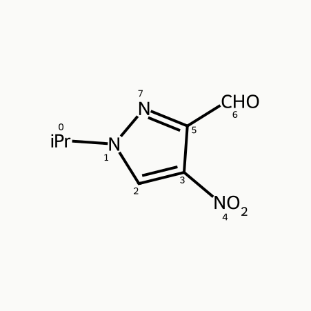 CC(C)n1cc([N+](=O)[O-])c(C=O)n1